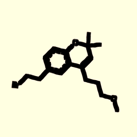 COCCCC1=CC(C)(C)Oc2ccc(CCBr)cc21